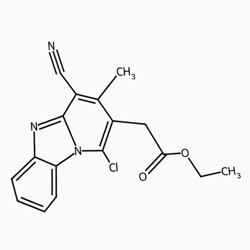 CCOC(=O)Cc1c(C)c(C#N)c2nc3ccccc3n2c1Cl